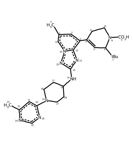 Cc1cc(C2=CC(C(C)(C)C)N(C(=O)O)CC2)c2nc(NC3CCN(c4cc(C)ncn4)CC3)nn2c1